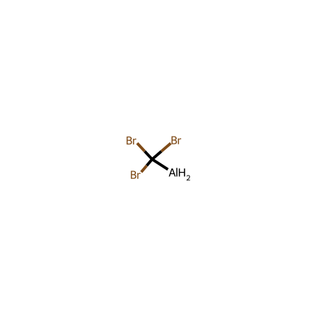 [AlH2][C](Br)(Br)Br